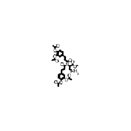 COC(=O)C(CN)N(C(=O)C=Cc1ccc(OC(C)=O)c(OC(C)=O)c1)C(=O)C=Cc1ccc(OC(C)=O)c(OC(C)=O)c1